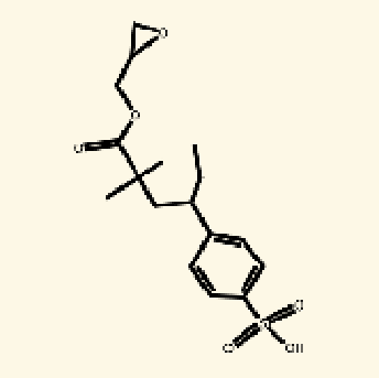 CCC(CC(C)(C)C(=O)OCC1CO1)c1ccc(S(=O)(=O)O)cc1